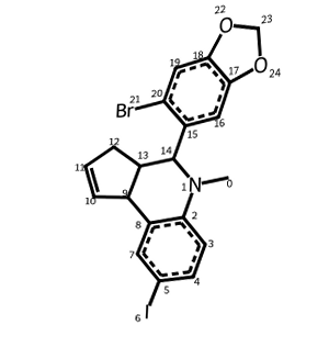 CN1c2ccc(I)cc2C2C=CCC2C1c1cc2c(cc1Br)OCO2